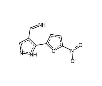 N=Cc1cn[nH]c1-c1ccc([N+](=O)[O-])o1